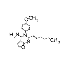 CCCCC=CC1=Nc2occc2C(N)N1c1ccc(OC)cc1